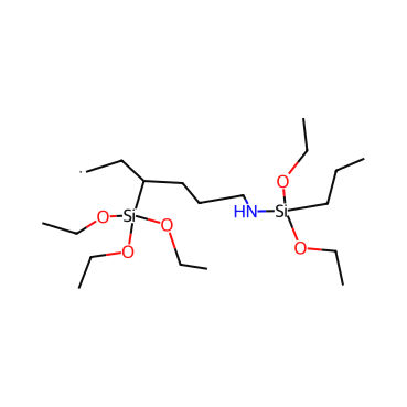 [CH2]CC(CCCN[Si](CCC)(OCC)OCC)[Si](OCC)(OCC)OCC